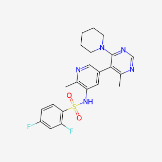 Cc1ncc(-c2c(C)ncnc2N2CCCCC2)cc1NS(=O)(=O)c1ccc(F)cc1F